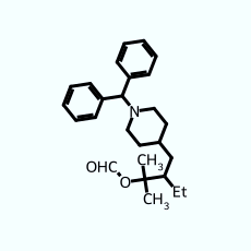 CCC(CC1CCN(C(c2ccccc2)c2ccccc2)CC1)C(C)(C)OC=O